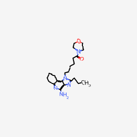 CCCc1nc2c(N)nc3c(c2n1CCCCCC(=O)N1CCOCC1)CCCC3